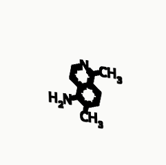 Cc1ccc2c(C)nccc2c1N